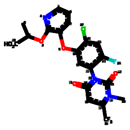 CC(Oc1ncccc1Oc1cc(-n2c(=O)cc(C(F)(F)F)n(C)c2=O)c(F)cc1Cl)C(=O)O